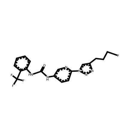 O=C(Nc1ccc(-n2cc(CCCF)nn2)nc1)Nc1ccccc1C(F)(F)F